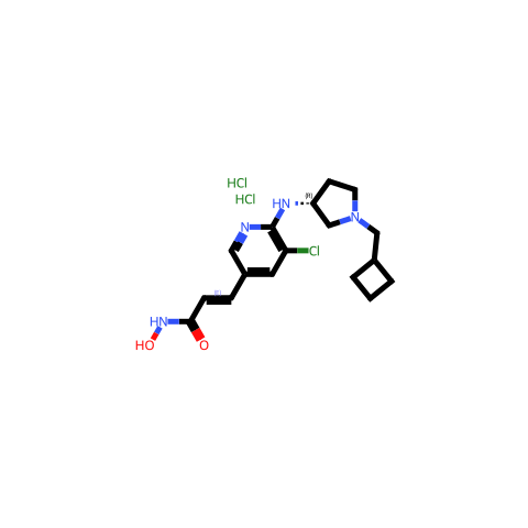 Cl.Cl.O=C(/C=C/c1cnc(N[C@@H]2CCN(CC3CCC3)C2)c(Cl)c1)NO